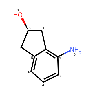 Nc1cccc2c1C[C@H](O)C2